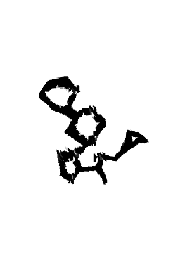 CC(NCC1CC1)c1ncnn1-c1cc(-c2ccccn2)ncn1